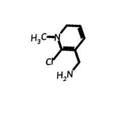 CN1CC=CC(CN)=C1Cl